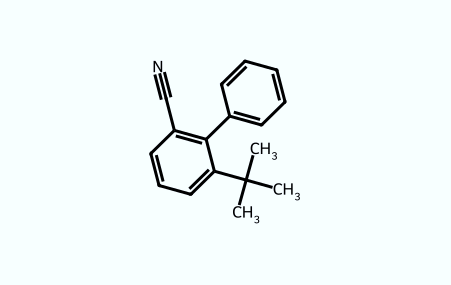 CC(C)(C)c1cccc(C#N)c1-c1ccccc1